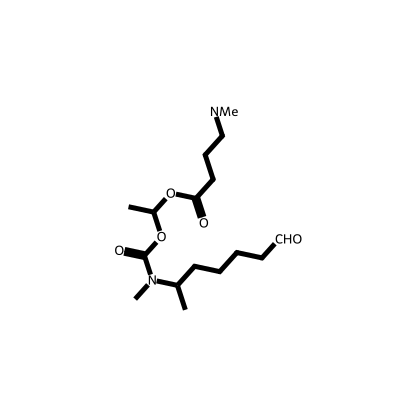 CNCCCC(=O)OC(C)OC(=O)N(C)C(C)CCCCC=O